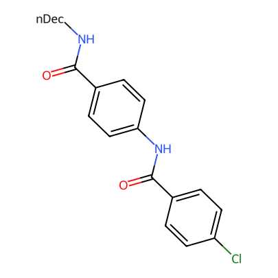 CCCCCCCCCCNC(=O)c1ccc(NC(=O)c2ccc(Cl)cc2)cc1